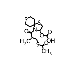 CC(=O)SC[C@@H](C)C(=O)N1[C@H](OC(=O)O)CSC12CCSCC2